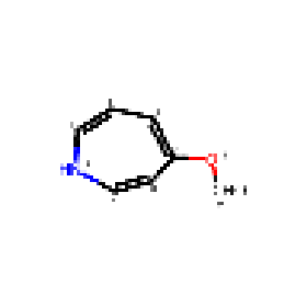 O=COC1=CC=CNC=C1